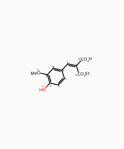 CCOC(=O)/C(=C\c1ccc(O)c(OC)c1)C(=O)O